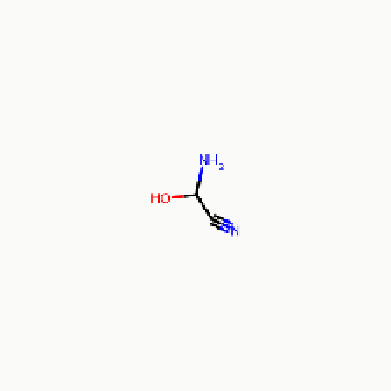 N#CC(N)O